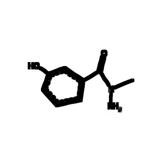 CN(N)C(=O)c1cccc(O)c1